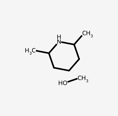 CC1CCCC(C)N1.CO